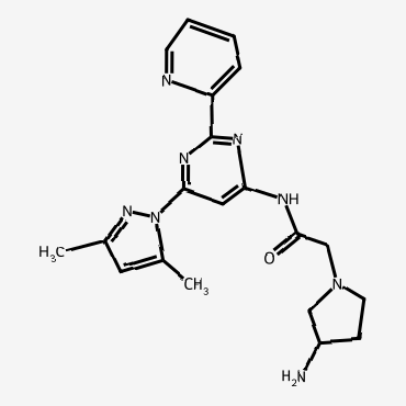 Cc1cc(C)n(-c2cc(NC(=O)CN3CCC(N)C3)nc(-c3ccccn3)n2)n1